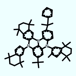 Cc1cc2c(cc1N1c3ccc(C(C)(C)c4ccccc4)cc3B3c4cc5c(cc4N(c4ccc6c(c4)C(C)(C)CCC6(C)C)c4cc(C(C)(C)C)cc1c43)C(C)(C)CCC5(C)C)C(C)(C)CCC2(C)C